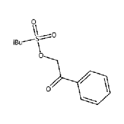 CCC(C)S(=O)(=O)OCC(=O)c1ccccc1